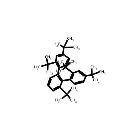 CC(C)(C)c1ccc(-c2[c]ccc(C(C)(C)C)c2-c2ccc(C(C)(C)C)cc2C(C)(C)C)c(C(C)(C)C)c1